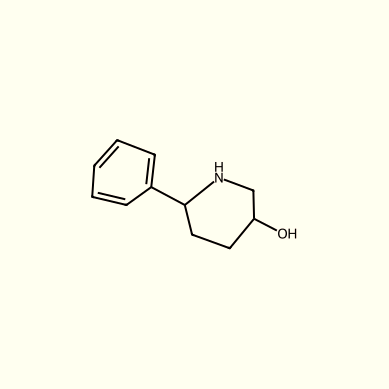 OC1CCC(c2ccccc2)NC1